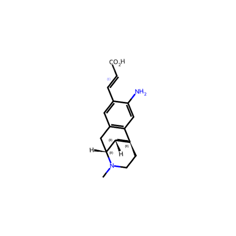 CN1CC[C@]23CCCC[C@H]2[C@H]1Cc1cc(/C=C/C(=O)O)c(N)cc13